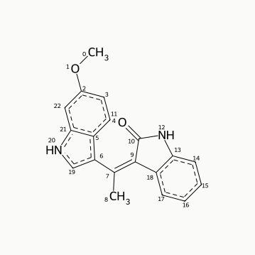 COc1ccc2c(C(C)=C3C(=O)Nc4ccccc43)c[nH]c2c1